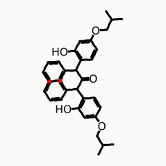 CC(C)COc1ccc(C(C(=O)C(c2ccccc2)c2ccc(OCC(C)C)cc2O)c2ccccc2)c(O)c1